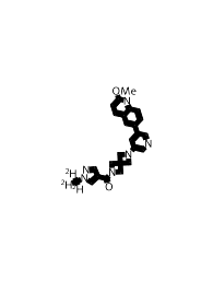 [2H]C([2H])([2H])n1cc(C(=O)N2CC3(C2)CN(c2cncc(-c4ccc5nc(OC)ccc5c4)c2)C3)cn1